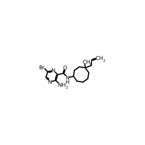 C=CCC1(C)CCCCC(NC(=O)c2nc(Br)cnc2N)CC1